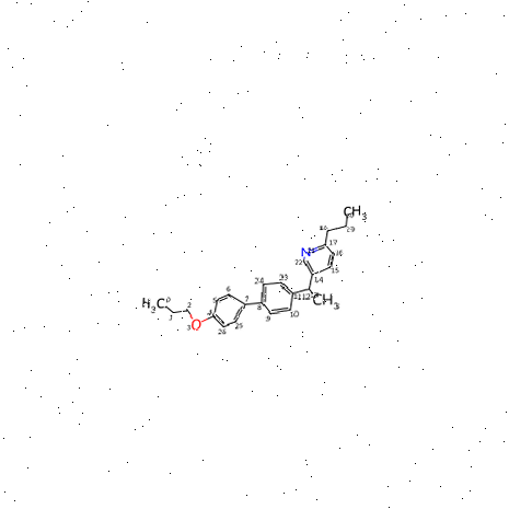 CCCOc1ccc(-c2ccc(C(C)c3ccc(CCC)nc3)cc2)cc1